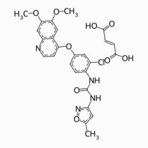 COc1cc2nccc(Oc3ccc(NC(=O)Nc4cc(C)on4)c(Cl)c3)c2cc1OC.O=C(O)C=CC(=O)O